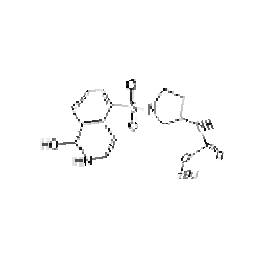 CC(C)(C)OC(=O)NC1CCN(S(=O)(=O)c2cccc3c2C=CNC3O)C1